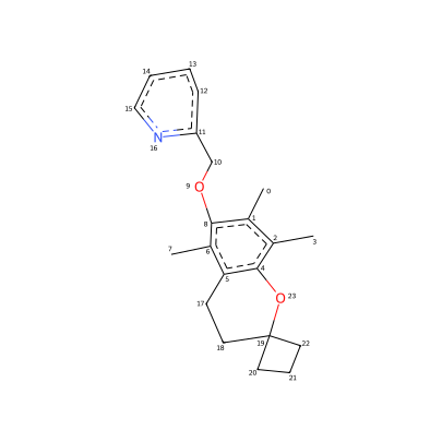 Cc1c(C)c2c(c(C)c1OCc1ccccn1)CCC1(CCC1)O2